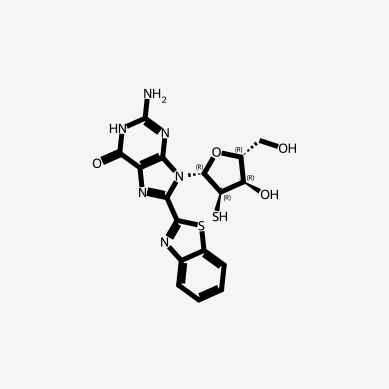 Nc1nc2c(nc(-c3nc4ccccc4s3)n2[C@@H]2O[C@H](CO)[C@@H](O)[C@H]2S)c(=O)[nH]1